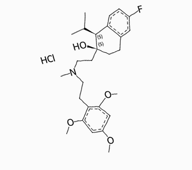 COc1cc(OC)c(CCN(C)CC[C@@]2(O)CCc3cc(F)ccc3[C@@H]2C(C)C)c(OC)c1.Cl